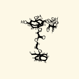 CCC1(OCCOC(=O)COC23CC4(O)CC(O)(C2)CC(OC(=O)C(F)(F)S(=O)(=O)O)(C4)C3)C2CC3CC(C2)CC1C3